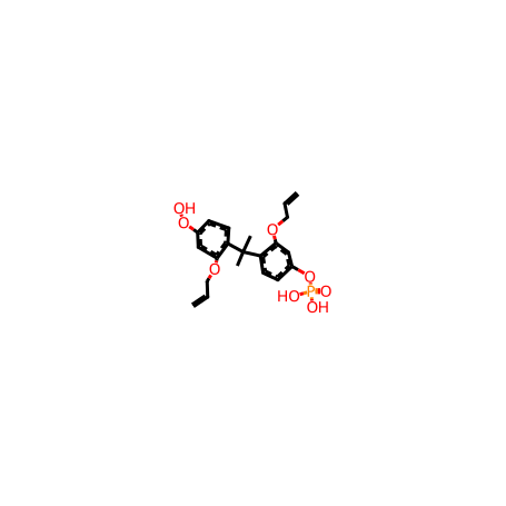 C=CCOc1cc(OO)ccc1C(C)(C)c1ccc(OP(=O)(O)O)cc1OCC=C